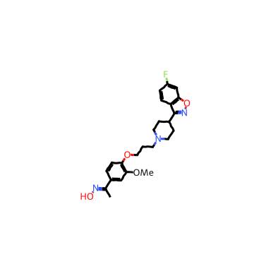 COc1cc(/C(C)=N/O)ccc1OCCCN1CCC(c2noc3cc(F)ccc23)CC1